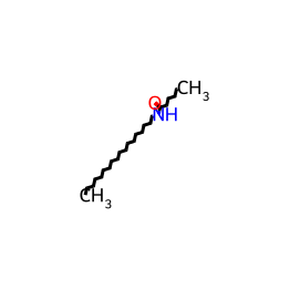 CCCCCCCCCCCCCCCCCCNC(=O)CCCCC